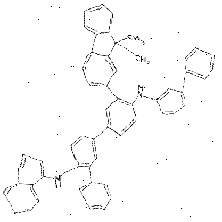 CC1(C)c2ccccc2-c2ccc(-c3cc(-c4ccc(Nc5cccc6ccccc56)c(-c5ccccc5)c4)ccc3Nc3cccc(-c4ccccc4)c3)cc21